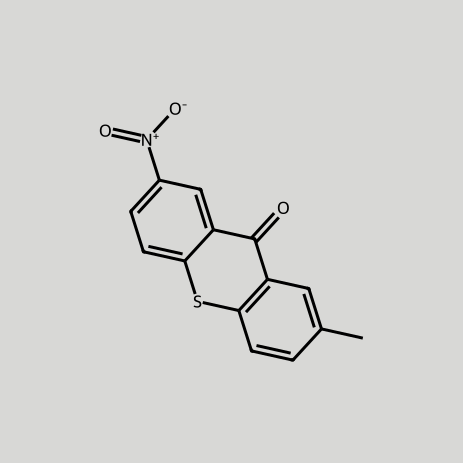 Cc1ccc2sc3ccc([N+](=O)[O-])cc3c(=O)c2c1